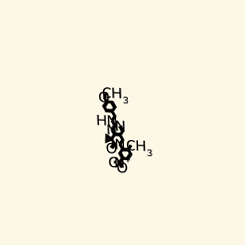 COc1ccc(CNc2ncc3c(n2)C2(CC2)C(=O)N(c2cc([N+](=O)[O-])ccc2C)C3)cc1